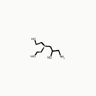 NCC(O)CN(CCO)CCO